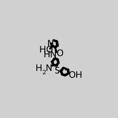 Nc1cc(NC(=O)c2cccnc2O)ccc1Sc1ccc(O)cc1